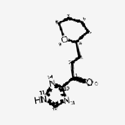 O=C(CCC1CCCCO1)c1nc[nH]n1